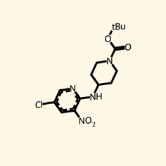 CC(C)(C)OC(=O)N1CCC(Nc2ncc(Cl)cc2[N+](=O)[O-])CC1